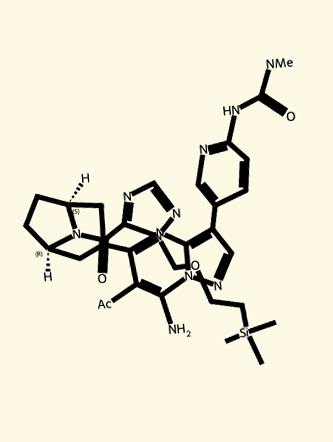 CNC(=O)Nc1ccc(-c2cnn3c(N)c(C(C)=O)c(C4C[C@H]5CC[C@@H](C4)N5C(=O)c4ncnn4COCC[Si](C)(C)C)nc23)cn1